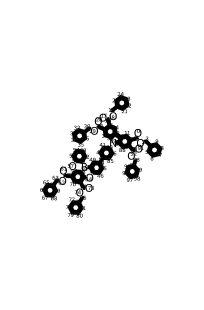 O=C(OCc1ccccc1)c1cc2c3cc(C(=O)OCc4ccccc4)c(C(=O)OCc4ccccc4)cc3n(-c3ccc(-c4ccc5c(c4)B4c6ccccc6Oc6c(C(=O)OCc7ccccc7)cc(C(=O)OCc7ccccc7)c(c64)O5)cc3)c2cc1C(=O)OCc1ccccc1